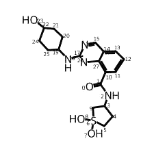 O=C(NC1CCS(O)(O)C1)c1cccc2cnc(NC3CCC(O)CC3)nc12